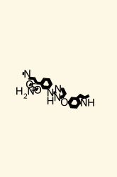 Cc1cc2cc(Oc3ccnc(Nc4cccc(C(CCN(C)C)S(N)(=O)=O)c4)n3)ccc2[nH]1